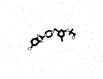 Cc1cc(CN2CCN(c3nc4ccc(Cl)cc4s3)CC2)cc(OC(C)(C)C=O)c1